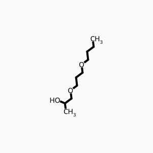 CCCCOCCCOCC(C)O